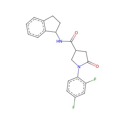 O=C(NC1CCc2ccccc21)C1CC(=O)N(c2ccc(F)cc2F)C1